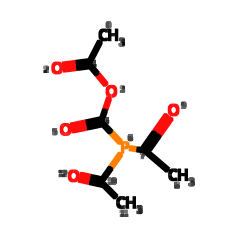 CC(=O)OC(=O)P(C(C)=O)C(C)=O